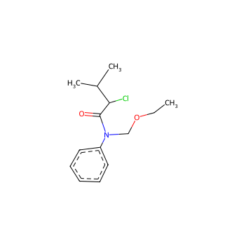 CCOCN(C(=O)C(Cl)C(C)C)c1ccccc1